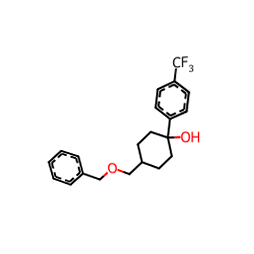 OC1(c2ccc(C(F)(F)F)cc2)CCC(COCc2ccccc2)CC1